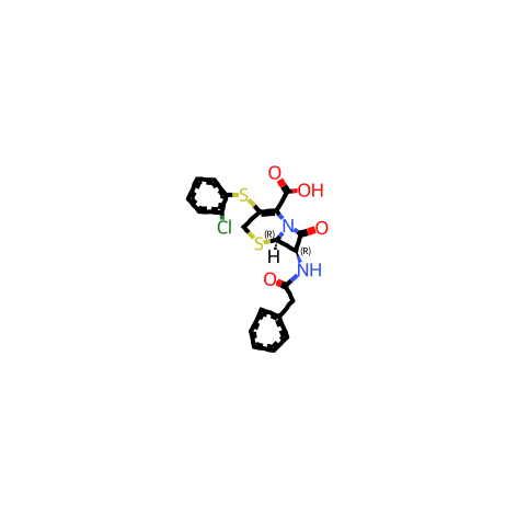 O=C(Cc1ccccc1)N[C@@H]1C(=O)N2C(C(=O)O)=C(Sc3ccccc3Cl)CS[C@H]12